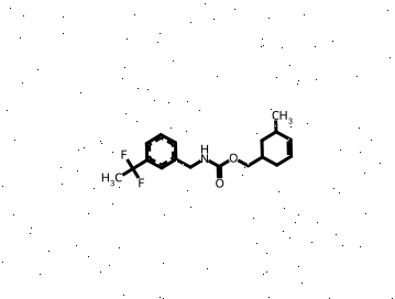 CC1C=CCC(COC(=O)NCc2cccc(C(C)(F)F)c2)C1